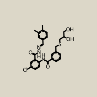 Cc1ccc(C=NNC(=O)c2cc(Cl)ccc2NC(=O)c2cccc(CSCC(O)CO)c2)cc1C